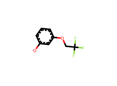 [O]c1cccc(OCC(F)(F)F)c1